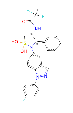 CC(F)(F)C(=O)N[C@H]1CS(O)(O)N(c2ccc3c(cnn3-c3ccc(F)cc3)c2)[C@@H]1c1ccccc1